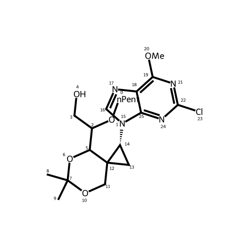 CCCCCOC(CO)C1OC(C)(C)OCC12C[C@H]2n1cnc2c(OC)nc(Cl)nc21